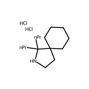 CCCC1(CCC)NCCC12CCCCC2.Cl.Cl